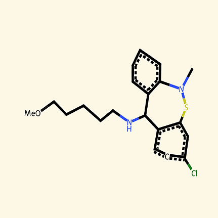 COCCCCCNC1c2ccc(Cl)cc2SN(C)c2ccccc21